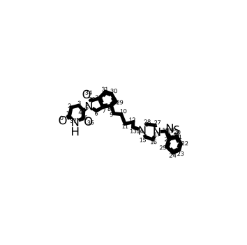 O=C1CCC(N2Cc3c(CCCCCN4CCN(c5nsc6ccccc56)CC4)cccc3C2=O)C(=O)N1